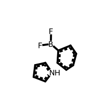 FB(F)c1ccccc1.c1cc[nH]c1